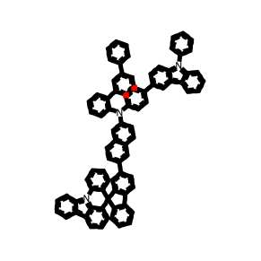 c1ccc(-c2cccc(-c3ccccc3N(c3ccc(-c4ccc5c(c4)c4ccccc4n5-c4ccccc4)cc3)c3ccc4cc(-c5ccc6c(c5)C5(c7ccccc7-6)c6ccccc6-n6c7ccccc7c7cccc5c76)ccc4c3)c2)cc1